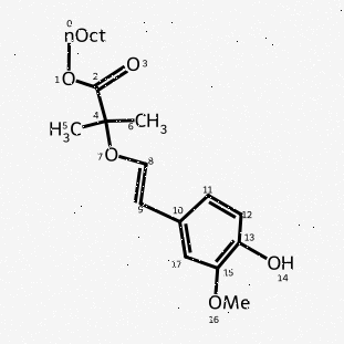 CCCCCCCCOC(=O)C(C)(C)OC=Cc1ccc(O)c(OC)c1